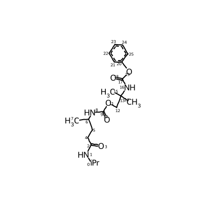 CC(C)NC(=O)CCC(C)NC(=O)OCC(C)(C)NC(=O)Oc1ccccc1